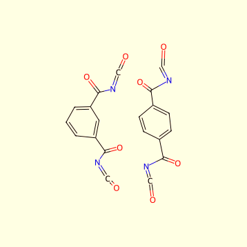 O=C=NC(=O)c1ccc(C(=O)N=C=O)cc1.O=C=NC(=O)c1cccc(C(=O)N=C=O)c1